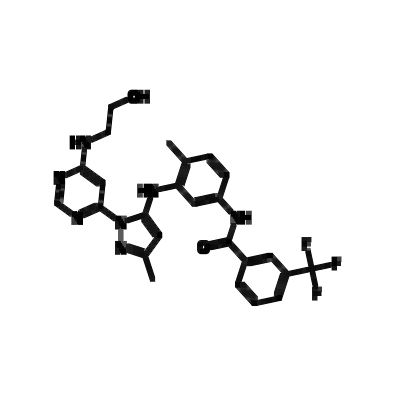 Cc1cc(Nc2cc(NC(=O)c3cccc(C(F)(F)F)c3)ccc2C)n(-c2cc(NCCO)ncn2)n1